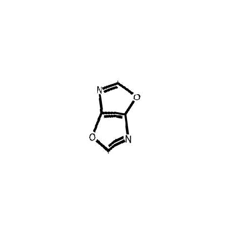 [c]1nc2o[c]nc2o1